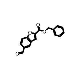 O=Cc1ccc2oc(C(=O)OCc3ccccc3)cc2c1